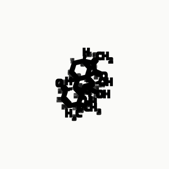 C=C1C(=O)[C@]23C[C@H]1CC[C@H]2[C@@]12CO[C@@]3(O)[C@@H](O)[C@@H]1C(C)(C)C=CC2=O